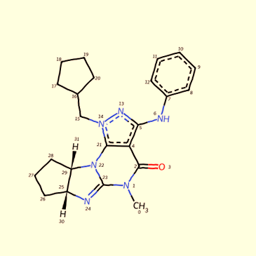 CN1C(=O)c2c(Nc3ccccc3)nn(CC3CCCC3)c2N2C1=N[C@@H]1CCC[C@@H]12